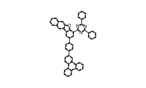 c1ccc(-c2nc(-c3ccccc3)nc(-c3cc(-c4ccc(-c5ccc6c7ccccc7c7ccccc7c6c5)cc4)cc4c3oc3cc5ccccc5cc34)n2)cc1